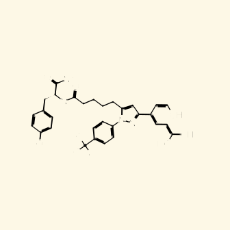 C/C=C\C(=C/C=C(C)C)c1cc(CCCCC(=O)N[C@@H](Cc2ccc(O)cc2)C(N)=O)n(-c2ccc(C(C)(C)C)cc2)n1